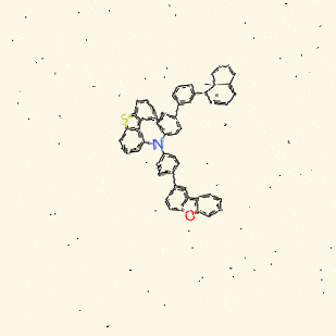 CC12C=CC=CC1=CC=CC2c1cccc(-c2ccc(N(c3ccc(-c4ccc5oc6ccccc6c5c4)cc3)c3cccc4sc5ccccc5c34)cc2)c1